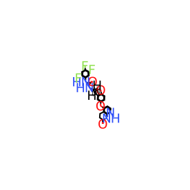 O=C1CCc2c(Oc3ccc4c(c3)[C@H]3C(NC(=O)Nc5cc(F)c(F)cc5F)[C@H]3O4)ccnc2N1